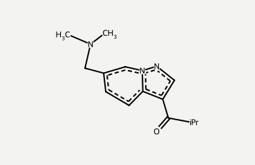 CC(C)C(=O)c1cnn2cc(CN(C)C)ccc12